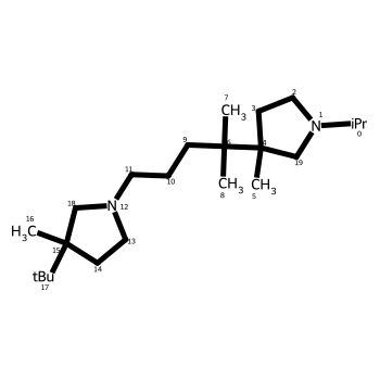 CC(C)N1CCC(C)(C(C)(C)CCCN2CCC(C)(C(C)(C)C)C2)C1